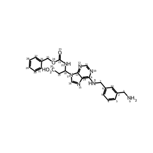 NCc1cccc(CNc2ncnc3c2ncn3C(CC(=O)O)NC(=O)OCc2ccccc2)c1